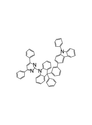 c1ccc(-c2cc(-c3ccccc3)nc(N3c4ccccc4C(c4ccccc4)(c4cccc(-c5ccc6c(c5)c5ccccc5n6-c5ccccc5)c4)c4ccccc43)n2)cc1